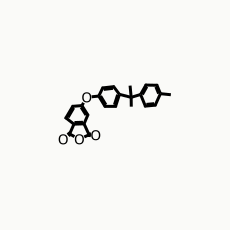 Cc1ccc(C(C)(C)c2ccc(Oc3ccc4c(c3)C(=O)OC4=O)cc2)cc1